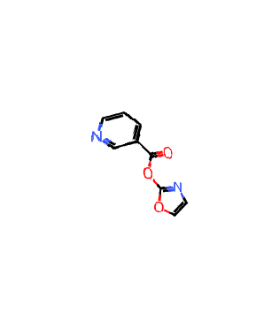 O=C(Oc1ncco1)c1cccnc1